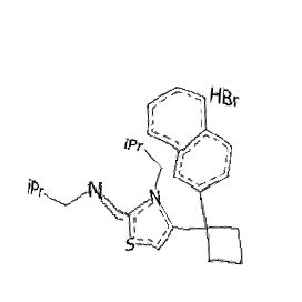 Br.CC(C)CN=c1scc(C2(c3ccc4ccccc4c3)CCC2)n1CC(C)C